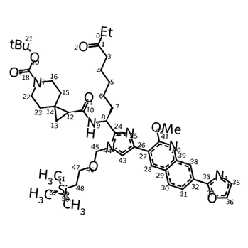 CCC(=O)CCCCC[C@H](NC(=O)[C@H]1CC12CCN(C(=O)OC(C)(C)C)CC2)c1nc(-c2cc3ccc(-c4ncco4)cc3nc2OC)cn1COCC[Si](C)(C)C